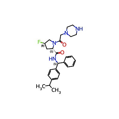 CC(C)c1ccc([C@@H](NC(=O)[C@@H]2C[C@@H](F)CN2C(=O)CN2CCNCC2)c2ccccc2)cc1